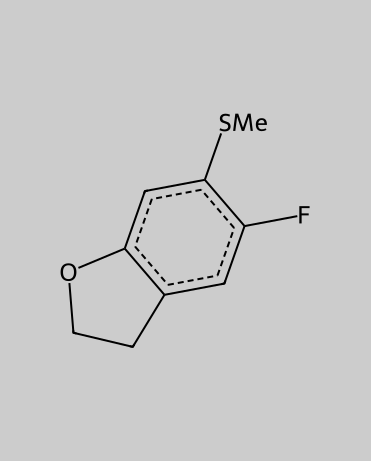 CSc1cc2c(cc1F)CCO2